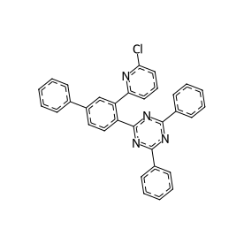 Clc1cccc(-c2cc(-c3ccccc3)ccc2-c2nc(-c3ccccc3)nc(-c3ccccc3)n2)n1